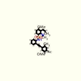 C=Nc1c(S(=O)(=O)Nc2ccccc2C#Cc2cc(OC)c(C(C)=O)cc2C)ccc(OC)c1/C=C\C